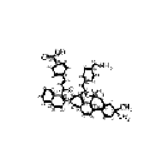 CC1(C)C=CC2=C(C1)CC(C)(C)c1c2ccc2cc(-c3ccc4ccccc4c3C(=O)C=Cc3ccc(C(=O)O)cc3)cc(CCc3ccc(CN)cc3)c12